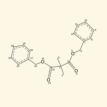 CC(C)(C(=O)OCc1ccccc1)C(=O)OCc1ccccc1